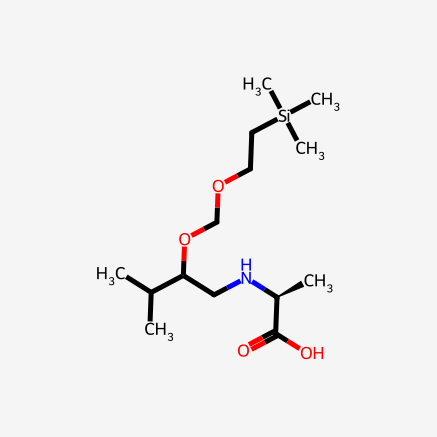 CC(C)C(CN[C@@H](C)C(=O)O)OCOCC[Si](C)(C)C